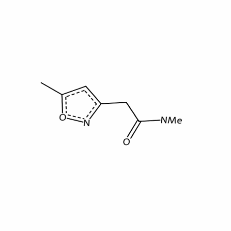 CNC(=O)Cc1cc(C)on1